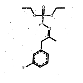 CCOP(=O)(N/N=C(/C)Cc1cccc(Br)c1)OCC